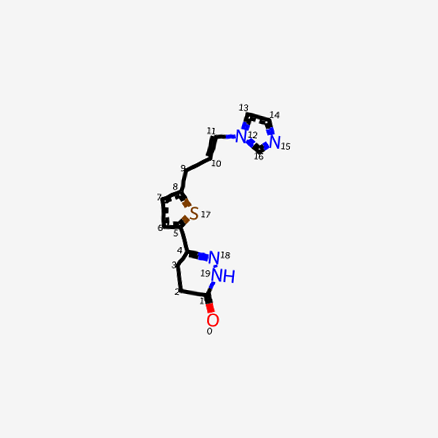 O=C1CCC(c2ccc(CC=Cn3ccnc3)s2)=NN1